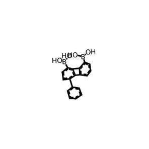 OB(O)c1cccc2c1-c1c(B(O)O)ccc(-c3ccccc3)c1-2